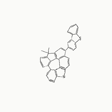 CC1(C)c2cccc3c2-c2c1cc(-c1ccc4sc5ccccc5c4c1)c1ccc4sc5cccc-3c5c4c21